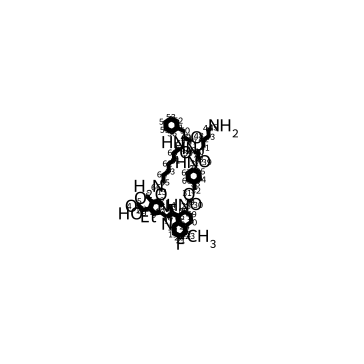 CC[C@@]1(O)C(=O)OCc2c1cc1n(c2=O)Cc2c-1nc1cc(F)c(C)c3c1c2[C@@H](NC(=O)OCc1ccc(NC(=O)[C@H](CCCCN)NC(=O)[C@H](Cc2ccccc2)NC(=O)CCCCCCN)cc1)CC3